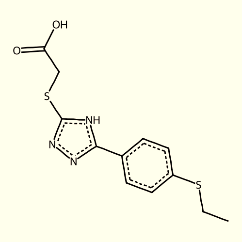 CCSc1ccc(-c2nnc(SCC(=O)O)[nH]2)cc1